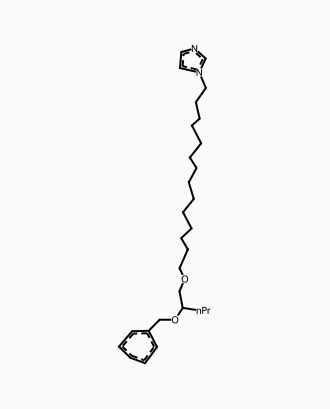 CCCC(COCCCCCCCCCCCCCCn1ccnc1)OCc1ccccc1